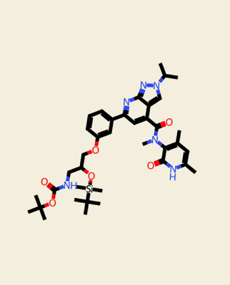 Cc1cc(C)c(N(C)C(=O)c2cc(-c3cccc(OCC(CNC(=O)OC(C)(C)C)O[Si](C)(C)C(C)(C)C)c3)nc3nn(C(C)C)cc23)c(=O)[nH]1